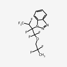 CC(F)(F)COC(F)(F)C(F)(C(F)C(F)(F)F)n1nnc2ccccc21